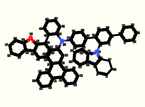 C1=Cc2c(n(-c3cc(-c4ccccc4)ccc3-c3ccc(N(c4ccc5c6ccccc6c6ccccc6c5c4)c4ccccc4-c4cccc5c4oc4ccccc45)cc3)c3ccccc23)CC1